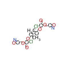 Cc1c(COc2cc(OCc3ccc4ocnc4c3)c(C=O)cc2Cl)cccc1-c1cccc(COc2cc(OCc3ccc4ocnc4c3)c(C=O)cc2Cl)c1C